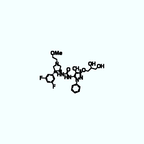 COCCN1C[C@@H](NC(=O)Nc2c(C)c(OCC(O)CO)nn2-c2ccccc2)[C@H](c2cc(F)cc(F)c2)C1